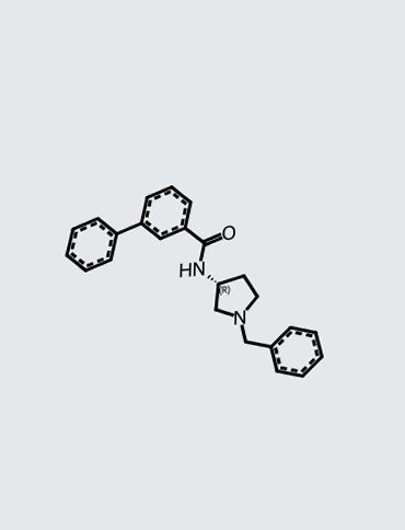 O=C(N[C@@H]1CCN(Cc2ccccc2)C1)c1cccc(-c2ccccc2)c1